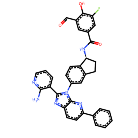 Nc1ncccc1-c1nc2ccc(-c3ccccc3)nc2n1-c1ccc2c(c1)CC[C@@H]2NC(=O)c1cc(F)c(O)c(C=O)c1